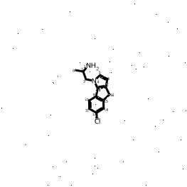 CC(N)Cn1ccc2c1-c1ccc(Cl)cc1C2